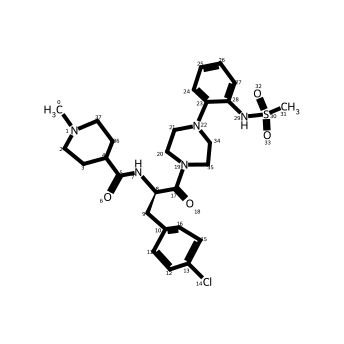 CN1CCC(C(=O)N[C@H](Cc2ccc(Cl)cc2)C(=O)N2CCN(c3ccccc3NS(C)(=O)=O)CC2)CC1